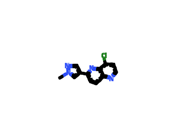 Cn1cc(-c2ccc3nccc(Cl)c3n2)cn1